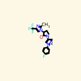 Cc1nc(C(F)(F)F)cn1C1CCN(c2cnn(-c3ccc(F)cc3)c2)C1=O